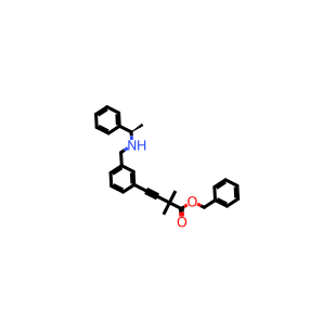 C[C@@H](NCc1cccc(C#CC(C)(C)C(=O)OCc2ccccc2)c1)c1ccccc1